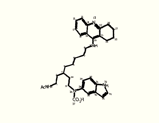 CC(=O)NCCC(CCCCCNc1c2c(nc3ccccc13)CCCC2)CCN(C(=O)O)c1ccc2[nH]ccc2c1